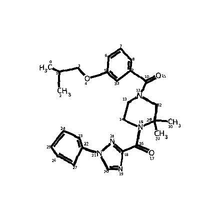 CC(C)COc1cccc(C(=O)N2CCN(C(=O)c3ncn(-c4ccccc4)n3)C(C)(C)C2)c1